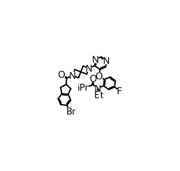 CCN(C(=O)C(C)C)c1cc(F)ccc1Oc1cncnc1N1CC2(CN(C(=O)C3Cc4ccc(Br)cc4C3)C2)C1